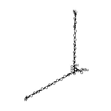 CC(C)(C)OC(=O)NCc1cc(C(=O)NCCOCCOCCOCCOCCOCCOCCOCCOCCOCCOCCOCCN=[N+]=[N-])cc(C(=O)NCCOCCOCCOCCOCCOCCOCCOCCOCCOCCOCCOCCN=[N+]=[N-])c1